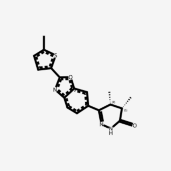 Cc1ccc(-c2nc3ccc(C4=NNC(=O)[C@@H](C)[C@H]4C)cc3o2)s1